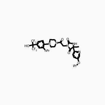 CCCc1cc(C(O)(C(F)(F)F)C(F)(F)F)ccc1N1CCN(C(=O)CN2C(=O)NC(C)(c3ccc(OC(C)C)cn3)C2=O)CC1